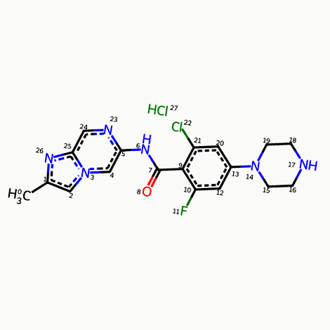 Cc1cn2cc(NC(=O)c3c(F)cc(N4CCNCC4)cc3Cl)ncc2n1.Cl